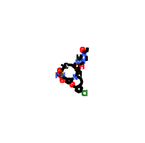 C=CC(=O)N1CCN2CCN(CC3(O)CCC[C@H](C)[C@@H](C)S(=O)(=O)NC(=O)c4ccc5c(c4)N(CCCCc4cc(Cl)ccc4CO5)C[C@@H]4CC[C@H]43)C[C@H]2C1